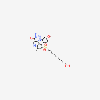 COc1cccc(Nc2c(C(N)=O)cnc3c(C)cc(S(=O)(=O)CCCCCCCCCCCO)cc23)c1